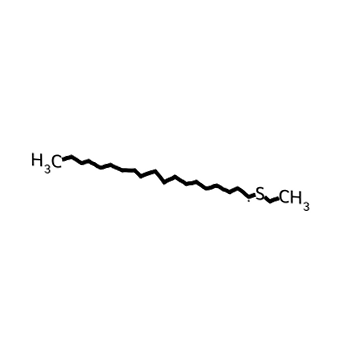 CCCCCCCCCCCCCCCCCC[CH]SCC